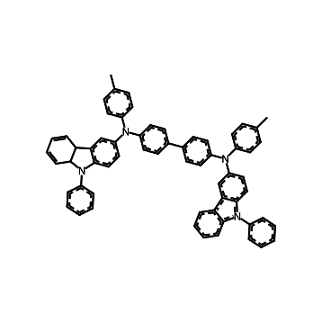 Cc1ccc(N(c2ccc(-c3ccc(N(c4ccc(C)cc4)c4ccc5c(c4)c4ccccc4n5-c4ccccc4)cc3)cc2)c2ccc3c(c2)C2C=CC=CC2N3c2ccccc2)cc1